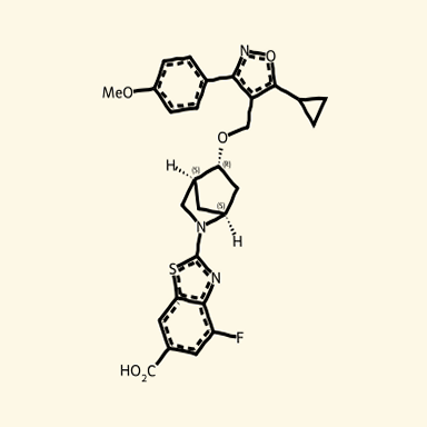 COc1ccc(-c2noc(C3CC3)c2CO[C@@H]2C[C@@H]3C[C@H]2CN3c2nc3c(F)cc(C(=O)O)cc3s2)cc1